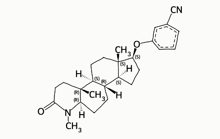 CN1C(=O)CC[C@]2(C)[C@H]3CC[C@]4(C)[C@@H](Oc5cccc(C#N)c5)CC[C@H]4[C@@H]3CC[C@@H]12